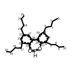 CCCCc1cc(CCCC)c2o[pH]oc3c(CCCC)cc(CCCC)cc3c2c1